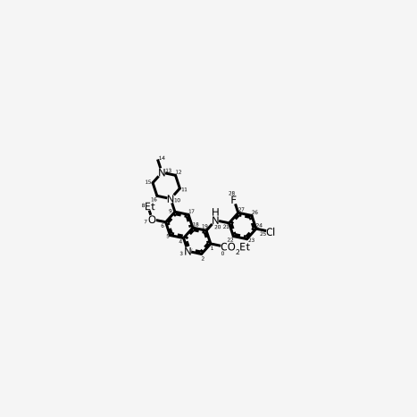 CCOC(=O)c1cnc2cc(OCC)c(N3CCN(C)CC3)cc2c1Nc1ccc(Cl)cc1F